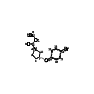 CC(C)(C)OC(=O)N1CC[C@@H](Oc2ccc(Br)cc2)C1